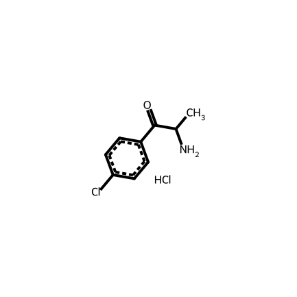 CC(N)C(=O)c1ccc(Cl)cc1.Cl